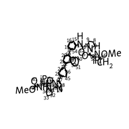 C=C(N[C@H](C(=O)N1CCC[C@H]1C(=O)Nc1cccc(-c2ccc(-c3ccc(-c4cnc([C@@H]5CCCN5C(=O)[C@@H](NC(=O)OC)C(C)C)[nH]4)cc3)c3c2C2CCC3O2)c1)C(C)C)OC